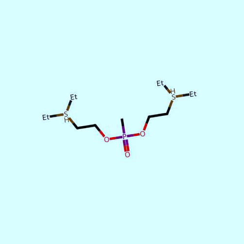 CC[SH](CC)CCOP(C)(=O)OCC[SH](CC)CC